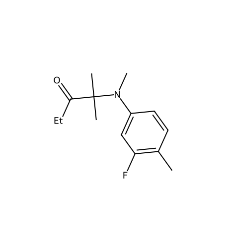 CCC(=O)C(C)(C)N(C)c1ccc(C)c(F)c1